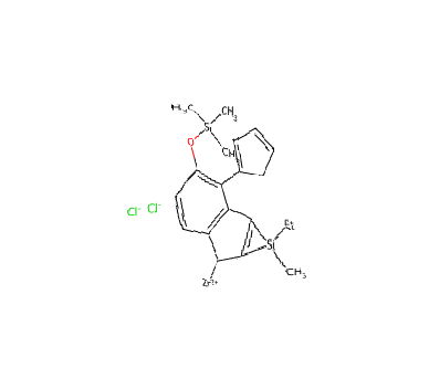 CC[Si]1(C)C2=C1[CH]([Zr+2])c1ccc(O[Si](C)(C)C)c(C3=CC=CC3)c12.[Cl-].[Cl-]